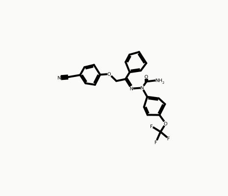 N#Cc1ccc(OC/C(=N/N(C(N)=O)c2ccc(OC(F)(F)F)cc2)c2ccccc2)cc1